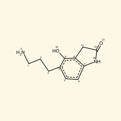 NCCCc1ccc2c(c1O)CC(=O)N2